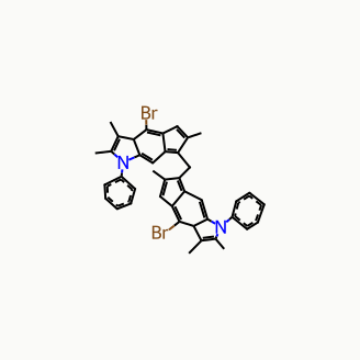 CC1=CC2=C(Br)C3C(=CC2=C1CC1=C2C=C4C(C(C)=C(C)N4c4ccccc4)C(Br)=C2C=C1C)N(c1ccccc1)C(C)=C3C